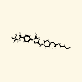 CCCCOC(=O)CN1CCN(CC2CN(c3ccc(C(=N)NS(C)(=O)=O)cc3)C(=O)O2)CC1